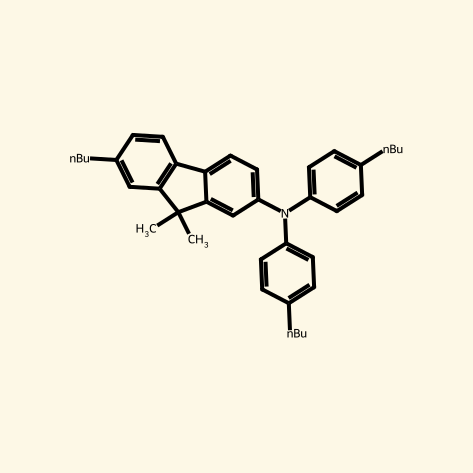 CCCCc1ccc(N(c2ccc(CCCC)cc2)c2ccc3c(c2)C(C)(C)c2cc(CCCC)ccc2-3)cc1